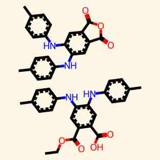 CCOC(=O)c1cc(Nc2ccc(C)cc2)c(Nc2ccc(C)cc2)cc1C(=O)O.Cc1ccc(Nc2cc3c(cc2Nc2ccc(C)cc2)C(=O)OC3=O)cc1